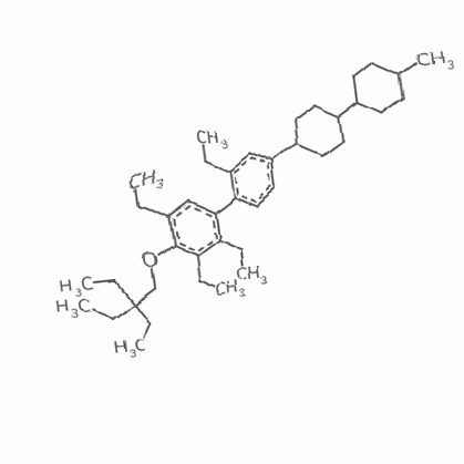 CCc1cc(C2CCC(C3CCC(C)CC3)CC2)ccc1-c1cc(CC)c(OCC(CC)(CC)CC)c(CC)c1CC